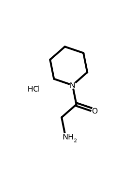 Cl.NCC(=O)N1CCCCC1